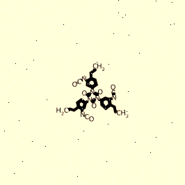 C=CCc1ccc(-n2c(=O)n(-c3ccc(CC=C)c(N=C=O)c3)c(=O)n(-c3ccc(CC=C)c(N=C=O)c3)c2=O)cc1N=C=O